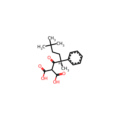 CC(C)(C)CC[C@@](C)(C(=O)C(C(=O)O)C(=O)O)c1ccccc1